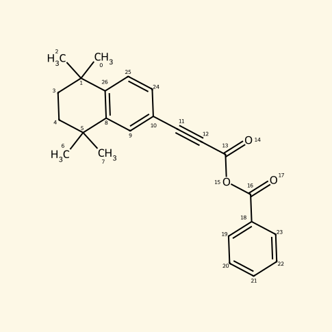 CC1(C)CCC(C)(C)c2cc(C#CC(=O)OC(=O)c3ccccc3)ccc21